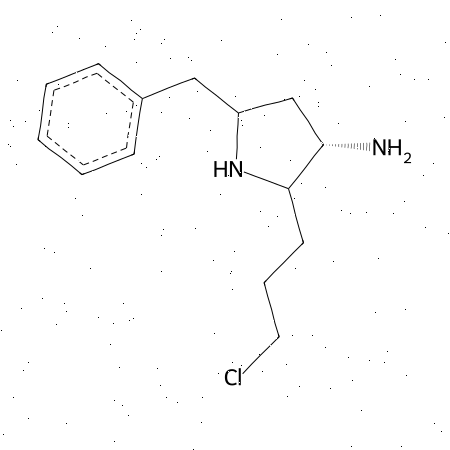 N[C@H]1CC(Cc2ccccc2)NC1CCCCl